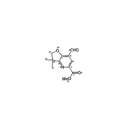 COC(=O)c1cc(C=O)c2c(n1)C(C)(C)CO2